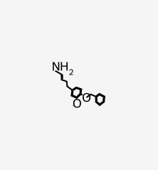 COc1cc(CCC=CCN)ccc1OCc1ccccc1